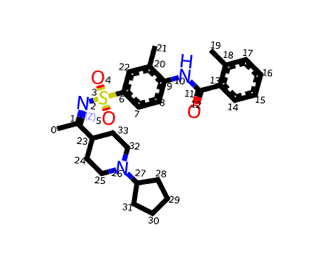 C/C(=N/S(=O)(=O)c1ccc(NC(=O)c2ccccc2C)c(C)c1)C1CCN(C2CCCC2)CC1